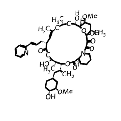 CO[C@H]1C[C@@H](C)[C@@]2(O)O[C@@H]1[C@@H](O)C[C@@H](C)C/C(C)=C/[C@@H](C/C=C/c1ccccn1)C(=O)C[C@H](O)[C@@H](C)[C@@H](C(C)C[C@@H]1CC[C@@H](O)[C@H](OC)C1)OC(=O)[C@@H]1CCCCN1C(=O)C2=O